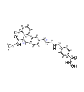 O=C(NC1CC1)/C(=C/c1ccc(/C=C/CNCc2ccc(C(=O)NO)cc2)cc1)c1ccccc1Cl